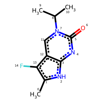 Cc1[nH]c2nc(=O)n(C(C)C)cc2c1F